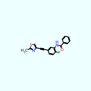 Cc1nc(C#Cc2ccc(F)c(NC(=O)c3ccccc3)c2)cs1